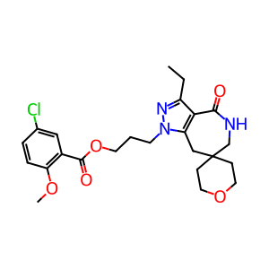 CCc1nn(CCCOC(=O)c2cc(Cl)ccc2OC)c2c1C(=O)NCC1(CCOCC1)C2